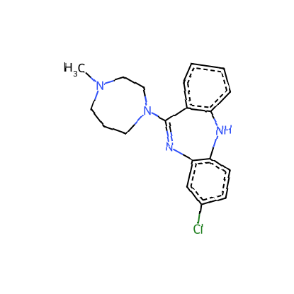 CN1CCCN(C2=Nc3cc(Cl)ccc3Nc3ccccc32)CC1